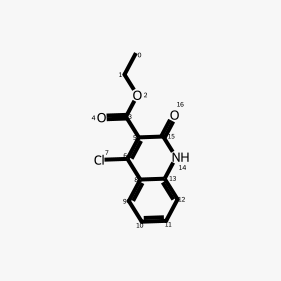 CCOC(=O)c1c(Cl)c2ccccc2[nH]c1=O